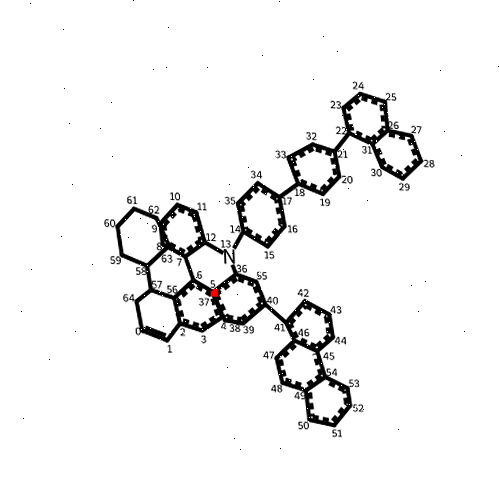 C1=Cc2cccc(-c3ccccc3N(c3ccc(-c4ccc(-c5cccc6ccccc56)cc4)cc3)c3cccc(-c4cccc5c4ccc4ccccc45)c3)c2C(C2CCCCC2)C1